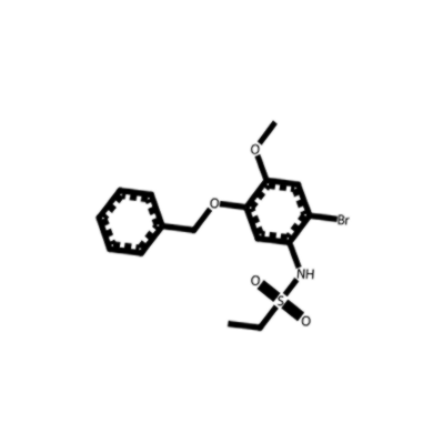 CCS(=O)(=O)Nc1cc(OCc2ccccc2)c(OC)cc1Br